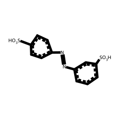 O=S(=O)(O)c1ccc(N=Nc2cccc(S(=O)(=O)O)c2)cc1